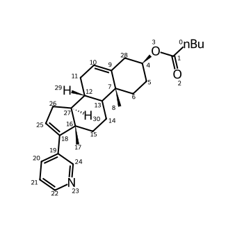 CCCCC(=O)O[C@H]1CC[C@@]2(C)C(=CC[C@@H]3C2CC[C@]2(C)C(c4cccnc4)=CC[C@@H]32)C1